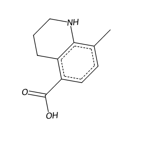 Cc1ccc(C(=O)O)c2c1NCCC2